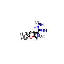 CCNNC(=N)[C@@H]1CC(O[Si](C)(C)C(C)(C)C)CN1C(C)=O